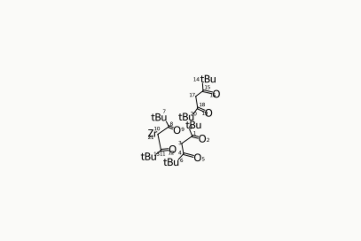 CC(C)(C)C(=O)CC(=O)C(C)(C)C.CC(C)(C)C(=O)CC(=O)C(C)(C)C.CC(C)(C)C(=O)CC(=O)C(C)(C)C.[Zr]